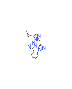 CC1CC1c1cnnn1N1C=NC2c3ccccc3-n3cncc3N21